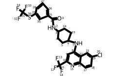 O=C(NC1CCC(Nc2cc(C(F)(F)F)nc3ccc(Cl)cc23)CC1)c1cccc(SC(F)(F)F)c1